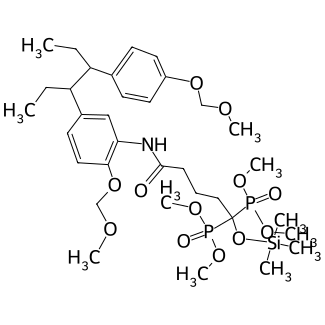 CCC(c1ccc(OCOC)cc1)C(CC)c1ccc(OCOC)c(NC(=O)CCCC(O[Si](C)(C)C)(P(=O)(OC)OC)P(=O)(OC)OC)c1